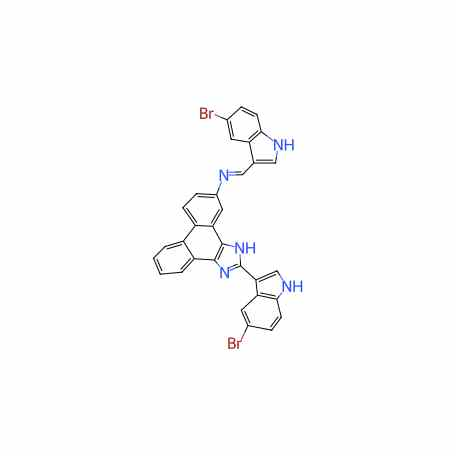 Brc1ccc2[nH]cc(C=Nc3ccc4c5ccccc5c5nc(-c6c[nH]c7ccc(Br)cc67)[nH]c5c4c3)c2c1